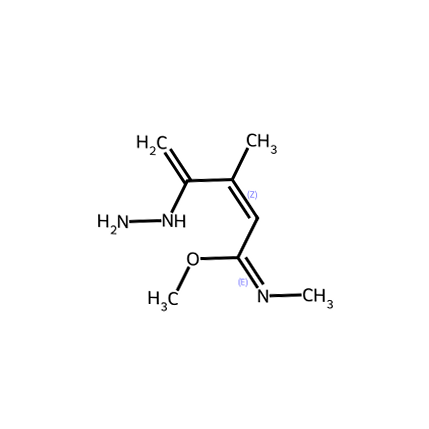 C=C(NN)/C(C)=C\C(=N/C)OC